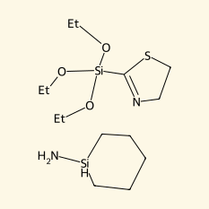 CCO[Si](OCC)(OCC)C1=NCCS1.N[SiH]1CCCCC1